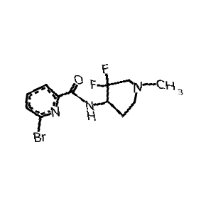 CN1CCC(NC(=O)c2cccc(Br)n2)C(F)(F)C1